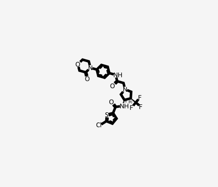 O=C(CN1C[C@@H](C(F)(F)F)[C@H](NC(=O)c2ccc(Cl)s2)C1)Nc1ccc(N2CCOCC2=O)cc1